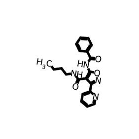 CCCCNC(=O)c1c(-c2ccccn2)noc1NC(=O)c1ccccc1